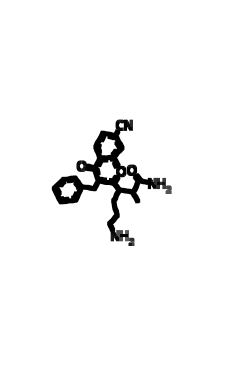 CC(C(N)=O)C(CCCN)c1oc2cc(C#N)ccc2c(=O)c1Cc1ccccc1